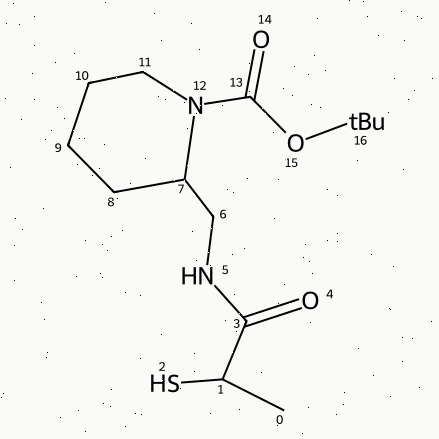 CC(S)C(=O)NCC1CCCCN1C(=O)OC(C)(C)C